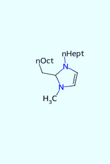 CCCCCCCCCC1N(C)C=CN1CCCCCCC